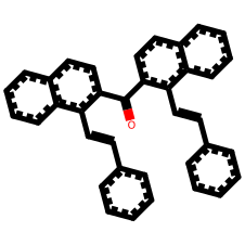 O=C(c1ccc2ccccc2c1C=Cc1ccccc1)c1ccc2ccccc2c1C=Cc1ccccc1